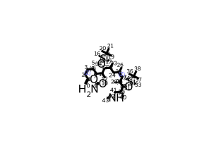 C=C/C=C\[C@H](C)C(OC(N)=O)C(C)C(O[Si](C)(C)C(C)(C)C)C(C)C/C(C)=C\[C@H](C)[C@@H](O[Si](C)(C)C(C)(C)C)[C@@H](C)CNC